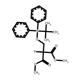 COC(=O)C(F)(CO[Si](c1ccccc1)(c1ccccc1)C(C)(C)C)C(=O)OC